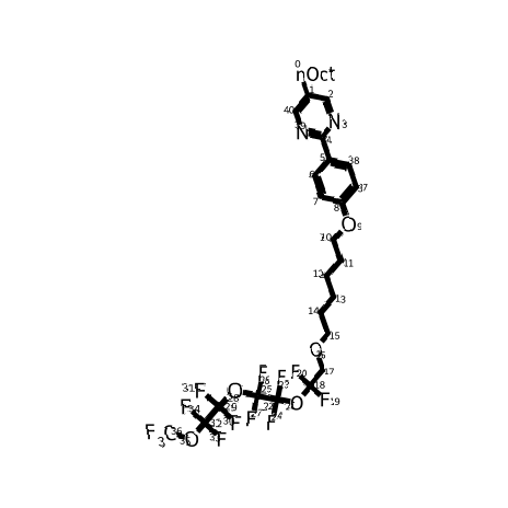 CCCCCCCCc1cnc(-c2ccc(OCCCCCCOCC(F)(F)OC(F)(F)C(F)(F)OC(F)(F)C(F)(F)OC(F)(F)F)cc2)nc1